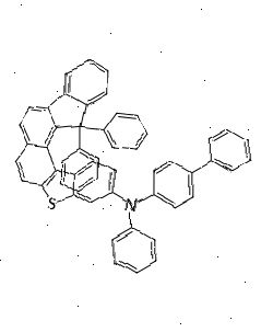 c1ccc(-c2ccc(N(c3ccccc3)c3ccc4c(c3)sc3ccc5ccc6c(c5c34)C(c3ccccc3)(c3ccccc3)c3ccccc3-6)cc2)cc1